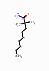 CCCCCCCC(C)(C)C(N)=O